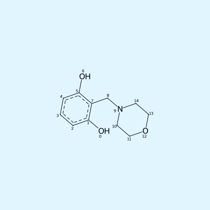 Oc1cccc(O)c1CN1CCOCC1